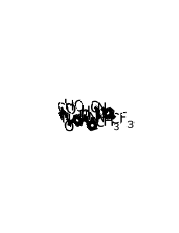 Cc1cccc(C(=O)c2ccc(C(=O)N3CCC(C(=O)O)C3)cc2)c1Nc1nc2cc(C(F)(F)F)ccc2nc1C(=O)O